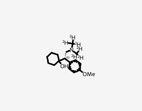 [2H]C([2H])([2H])N(C[C@H](c1ccc(OC)cc1)C1(O)CCCCC1)C([2H])([2H])[2H]